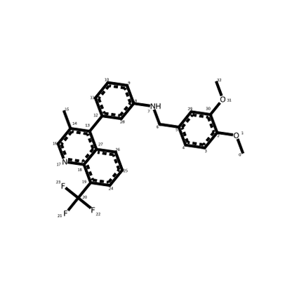 COc1ccc(CNc2cccc(-c3c(C)cnc4c(C(F)(F)F)cccc34)c2)cc1OC